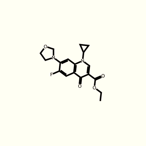 CCOC(=O)c1cn(C2CC2)c2cc(N3CCOC3)c(F)cc2c1=O